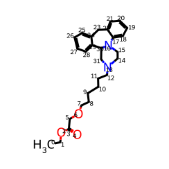 CCOC(=O)COCCCCCCN1CCN2c3ccccc3Cc3ccccc3C2C1